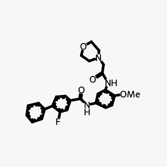 COc1ccc(NC(=O)c2ccc(-c3ccccc3)c(F)c2)cc1NC(=O)CN1CCOCC1